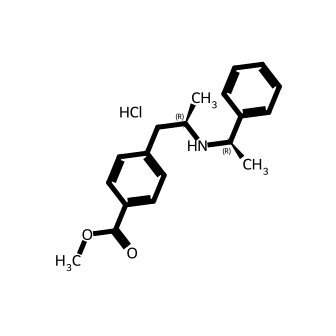 COC(=O)c1ccc(C[C@@H](C)N[C@H](C)c2ccccc2)cc1.Cl